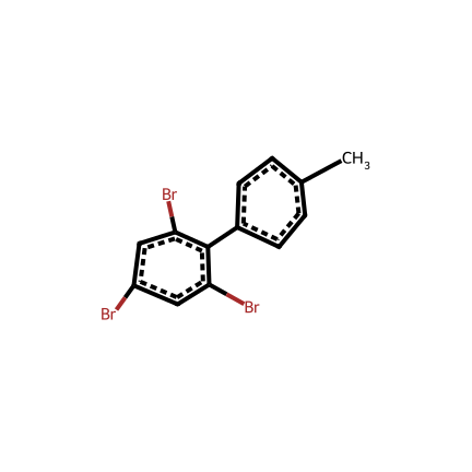 Cc1ccc(-c2c(Br)cc(Br)cc2Br)cc1